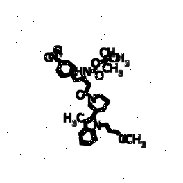 COCCCn1c(C2CCCN(C(=O)CC(Cc3ccc([N+](=O)[O-])cc3)NC(=O)OC(C)(C)C)C2)c(C)c2ccccc21